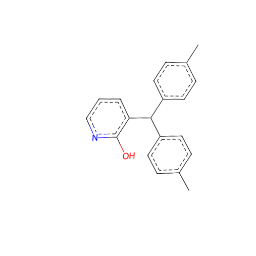 Cc1ccc(C(c2ccc(C)cc2)c2cccnc2O)cc1